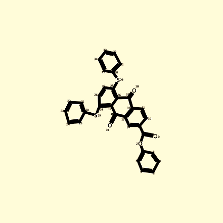 O=C(Oc1ccccc1)c1ccc2c(c1)C(=O)c1c(Sc3ccccc3)ccc(Sc3ccccc3)c1C2=O